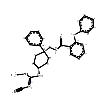 CN/C(=N\C#N)N[C@H]1CC[C@](CNC(=O)c2cccnc2Oc2ccccc2)(c2ccccc2)CC1